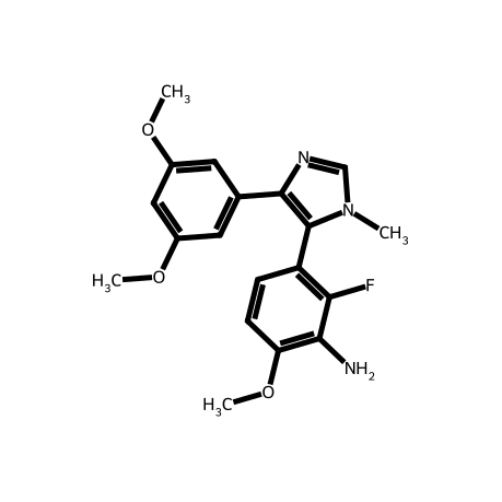 COc1cc(OC)cc(-c2ncn(C)c2-c2ccc(OC)c(N)c2F)c1